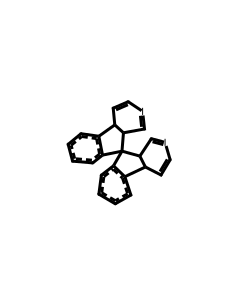 C1=CC2c3ccccc3C3(c4ccccc4C4C=CI=CC43)C2C=I1